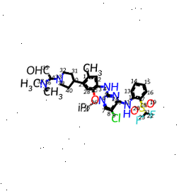 Cc1cc(Nc2ncc(Cl)c(Nc3ccccc3S(=O)(=O)C(F)F)n2)c(OC(C)C)cc1C1CCN(C(C=O)N(C)C)CC1